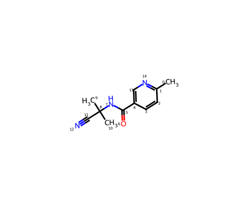 Cc1ccc(C(=O)NC(C)(C)C#N)cn1